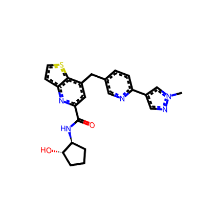 Cn1cc(-c2ccc(Cc3cc(C(=O)N[C@H]4CCC[C@@H]4O)nc4ccsc34)cn2)cn1